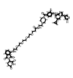 O=C(CCOCCOCCOCCOCCNc1cccc2c1C(=O)N(C1CCC(=O)NC1=O)C2=O)NCCN1CCN(C(=O)c2ccc(Nc3nc(C4CC4)cn4c(-c5cn[nH]c5)cnc34)c(F)c2)CC1